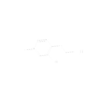 Cc1ccc(OCC(=O)O)c(C=O)c1